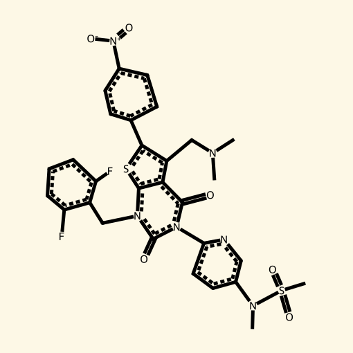 CN(C)Cc1c(-c2ccc([N+](=O)[O-])cc2)sc2c1c(=O)n(-c1ccc(N(C)S(C)(=O)=O)cn1)c(=O)n2Cc1c(F)cccc1F